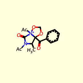 CC(=O)N1C(=O)[N+]2(C(C)=O)OCOC2(C(=O)c2ccccc2)C1C